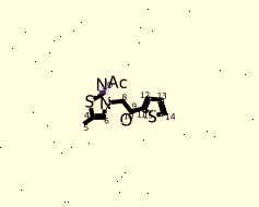 CC(=O)/N=c1/sc(C)cn1CC(=O)c1cccs1